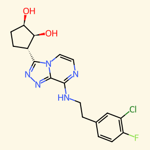 O[C@@H]1[C@H](O)CC[C@H]1c1nnc2c(NCCc3ccc(F)c(Cl)c3)nccn12